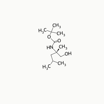 CC(C)C[C@@](C)(CO)NC(=O)OC(C)(C)C